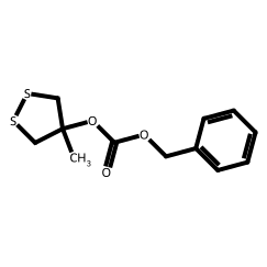 CC1(OC(=O)OCc2ccccc2)CSSC1